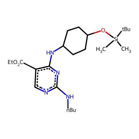 CCCCNc1ncc(C(=O)OCC)c(NC2CCC(O[Si](C)(C)C(C)(C)C)CC2)n1